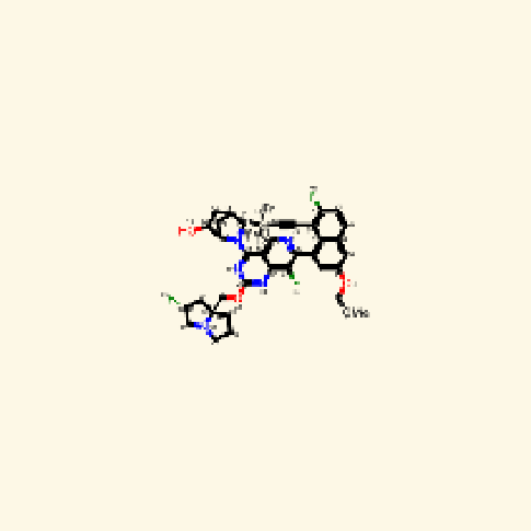 COCOc1cc(-c2nc(OC)c3c(N4CC5CC(O)C4C5)nc(OC[C@@]45CCCN4C[C@H](F)C5)nc3c2F)c2c(C#C[Si](C(C)C)(C(C)C)C(C)C)c(F)ccc2c1